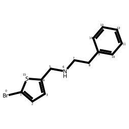 Brc1ccc(CNCCc2ccccc2)s1